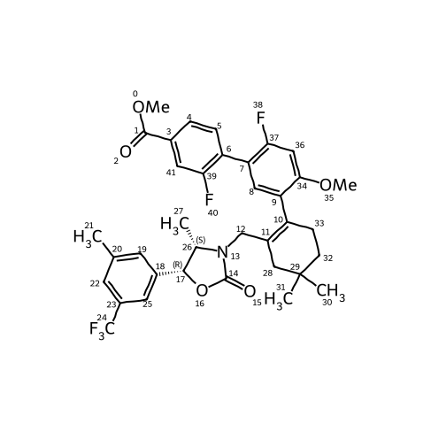 COC(=O)c1ccc(-c2cc(C3=C(CN4C(=O)O[C@H](c5cc(C)cc(C(F)(F)F)c5)[C@@H]4C)CC(C)(C)CC3)c(OC)cc2F)c(F)c1